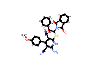 COc1ccc(-c2c(C#N)c(N)nc(SC(C(=O)c3ccccc3)N3C(=O)c4ccccc4C3=O)c2C#N)cc1